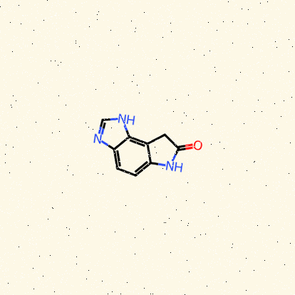 O=C1Cc2c(ccc3nc[nH]c23)N1